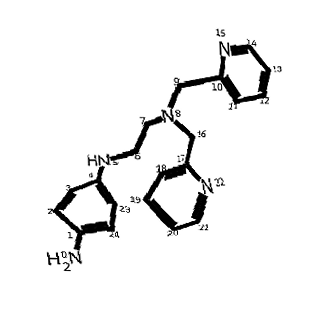 Nc1ccc(NCCN(Cc2ccccn2)Cc2ccccn2)cc1